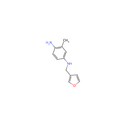 Cc1cc(NCc2ccoc2)ccc1N